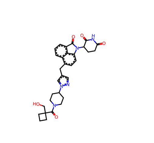 O=C1CCC(N2C(=O)c3cccc4c(Cc5cnn(C6CCN(C(=O)C7(CO)CCC7)CC6)c5)ccc2c34)C(=O)N1